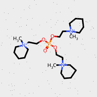 C[N+]1(CCOP(=O)(OCC[N+]2(C)CCCCC2)OCC[N+]2(C)CCCCC2)CCCCC1